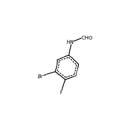 O=CNc1ccc(F)c(Br)c1